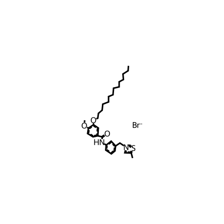 CCCCCCCCCCCCCCOc1cc(C(=O)Nc2cccc(C[n+]3csc(C)c3)c2)ccc1OC.[Br-]